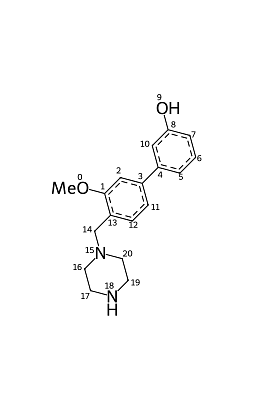 COc1cc(-c2cccc(O)c2)ccc1CN1CCNCC1